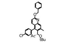 CC(=O)[C@@H](OC(C)(C)C)c1c(C)cc2nc(OCc3ccccc3)ccc2c1-c1ccc(Cl)cc1